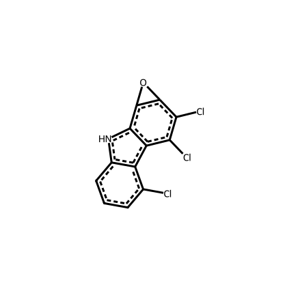 Clc1c2c(c3[nH]c4cccc(Cl)c4c3c1Cl)O2